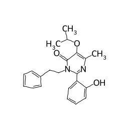 Cc1nc(-c2ccccc2O)n(CCc2ccccc2)c(=O)c1OC(C)C